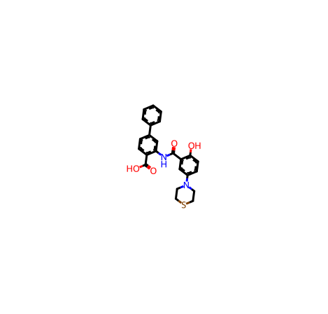 O=C(Nc1cc(-c2ccccc2)ccc1C(=O)O)c1cc(N2CCSCC2)ccc1O